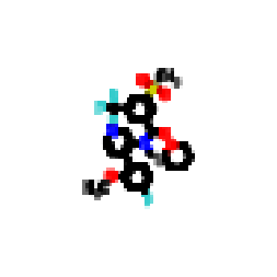 COc1cc(F)ccc1-c1ccncc1N(C[C@H]1CCCCO1)C(=O)c1cc(C(F)(F)F)cc(S(C)(=O)=O)c1